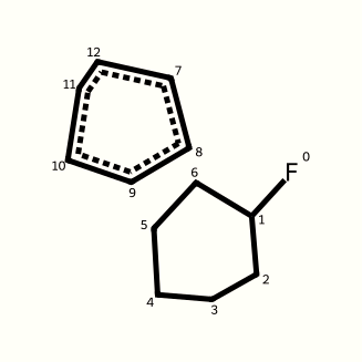 FC1CCCCC1.c1ccccc1